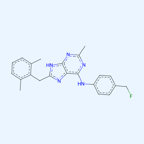 Cc1nc(Nc2ccc(CF)cc2)c2nc(Cc3c(C)cccc3C)[nH]c2n1